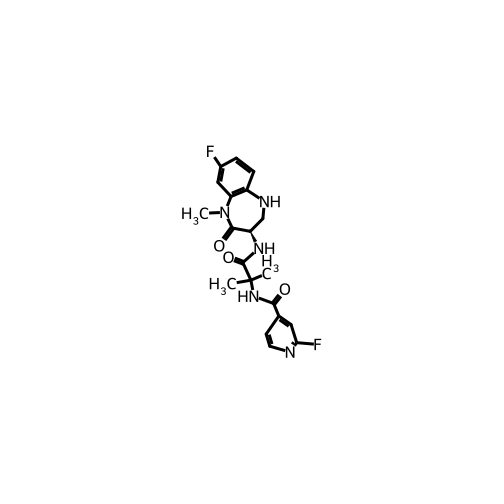 CN1C(=O)[C@H](NC(=O)C(C)(C)NC(=O)c2ccnc(F)c2)CNc2ccc(F)cc21